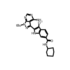 CC(C)(C)n1nc(-c2[nH]c3cc(C(=O)NC4CCCCC4)ccc3c2Cl)c2c(N)ncnc21